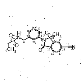 CCS(=O)(=O)NCc1cncc(N2C(=O)c3ccc(C#N)cc3C2(C)C)c1